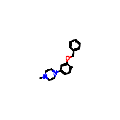 CN1CCN(c2cc[c]c(OCc3ccccc3)c2)CC1